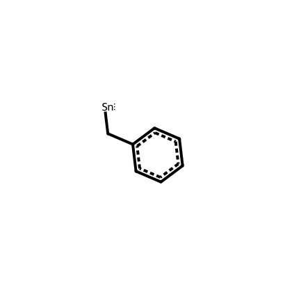 [Sn][CH2]c1ccccc1